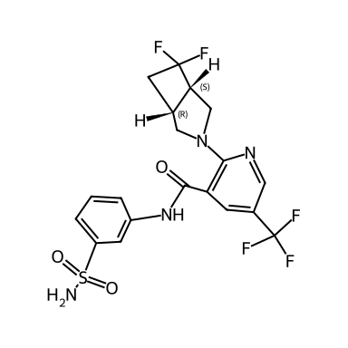 NS(=O)(=O)c1cccc(NC(=O)c2cc(C(F)(F)F)cnc2N2C[C@@H]3CC(F)(F)[C@@H]3C2)c1